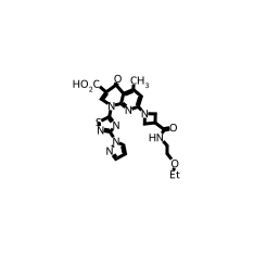 CCOCCNC(=O)C1CN(c2cc(C)c3c(=O)c(C(=O)O)cn(-c4nc(-n5cccn5)ns4)c3n2)C1